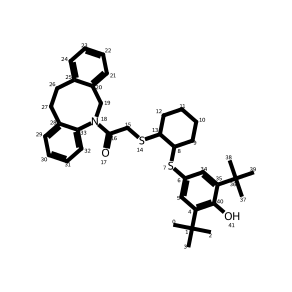 CC(C)(C)c1cc(SC2CCCCC2SCC(=O)N2Cc3ccccc3CCc3ccccc32)cc(C(C)(C)C)c1O